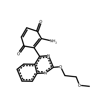 COCCOc1nc(C2=C(N)C(=O)C=CC2=O)c2ccccc2n1